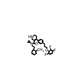 Cc1ccccc1CCN(C(=O)C1=C(c2ccc(CCCOc3c(F)ccc(F)c3F)cc2)CCNC1)C1CC1